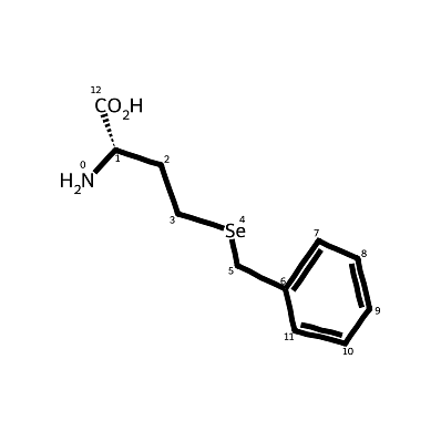 N[C@@H](CC[Se]Cc1ccccc1)C(=O)O